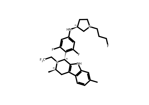 Cc1ccc2c3c([nH]c2c1)[C@@H](c1c(F)cc(N[C@H]2CCN(CCCF)C2)cc1F)N(CC(F)(F)F)[C@H](C)C3